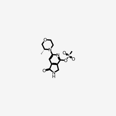 C[C@@H]1COCCN1c1cc2c(c(OS(C)(=O)=O)n1)CNC2=O